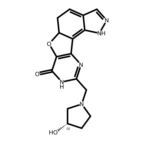 O=c1[nH]c(CN2CC[C@H](O)C2)nc2c1OC1CC=c3cn[nH]c3=C21